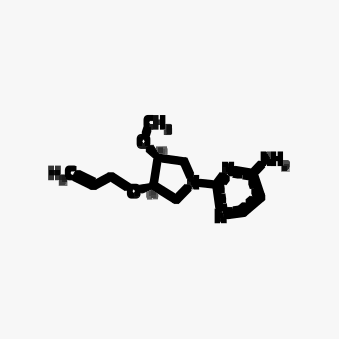 C=CCO[C@@H]1CN(c2nccc(N)n2)C[C@@H]1OC